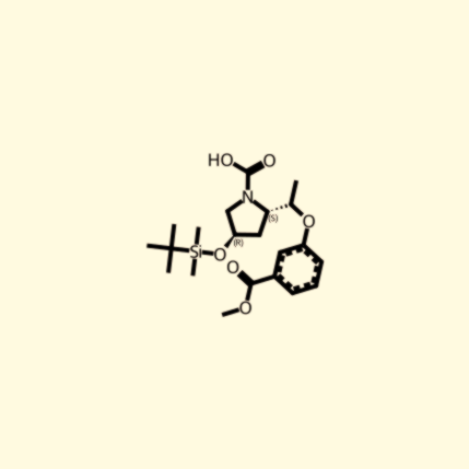 COC(=O)c1cccc(OC(C)[C@@H]2C[C@@H](O[Si](C)(C)C(C)(C)C)CN2C(=O)O)c1